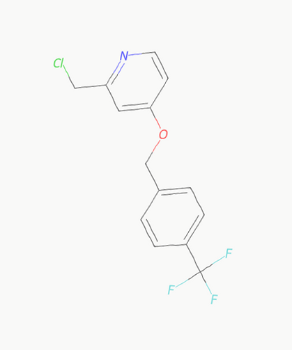 FC(F)(F)c1ccc(COc2ccnc(CCl)c2)cc1